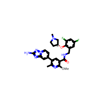 COc1nc(C)c(-c2ccn3nc(N)nc3c2)cc1C(=O)NCc1cc(F)cc(F)c1O[C@@H]1CCN(C)C1